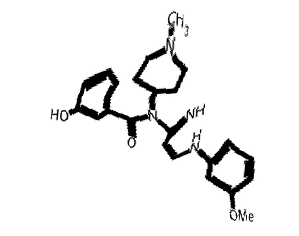 COc1cccc(N/C=C\C(=N)N(C(=O)c2cccc(O)c2)C2CCN(C)CC2)c1